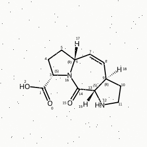 O=C(O)[C@@H]1CC[C@@H]2C=C[C@H]3CCN[C@@H]3C(=O)N21